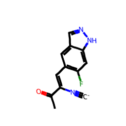 [C-]#[N+]/C(=C\c1cc2cn[nH]c2cc1F)C(C)=O